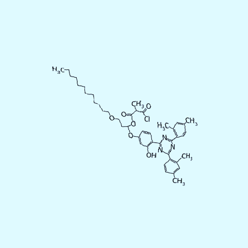 CCCCCCCCCCCCOCCC(OC(=O)C(C)C(=O)Cl)Oc1ccc(-c2nc(-c3ccc(C)cc3C)nc(-c3ccc(C)cc3C)n2)c(O)c1